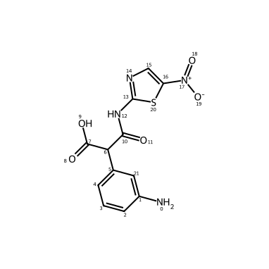 Nc1cccc(C(C(=O)O)C(=O)Nc2ncc([N+](=O)[O-])s2)c1